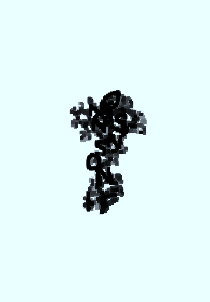 CN(c1cccc2c1NC(C1=NCC(CC(=O)N3CCC(F)(F)C3)S1)C2)S(=O)(=O)c1cccs1